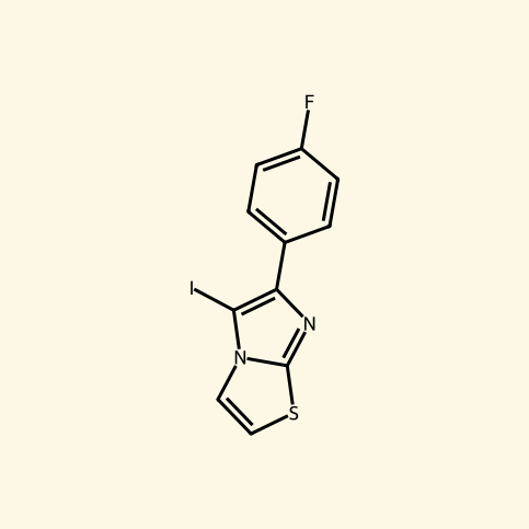 Fc1ccc(-c2nc3sccn3c2I)cc1